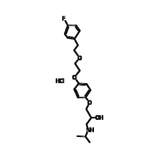 CC(C)NCC(O)COc1ccc(OCCOCCc2ccc(F)cc2)cc1.Cl